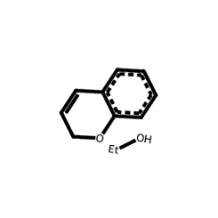 C1=Cc2ccccc2OC1.CCO